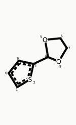 c1csc([C]2OCCO2)c1